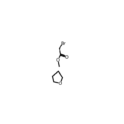 C1CCOC1.COC(=O)CBr